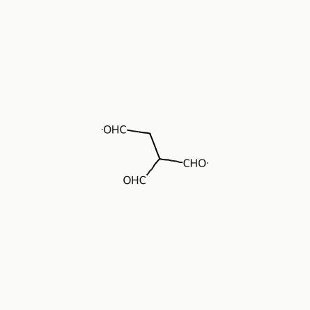 O=[C]CC([C]=O)C=O